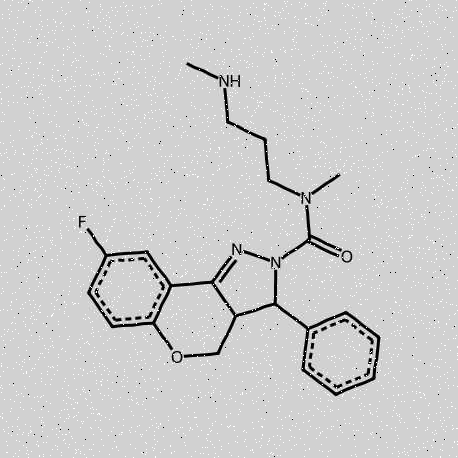 CNCCCN(C)C(=O)N1N=C2c3cc(F)ccc3OCC2C1c1ccccc1